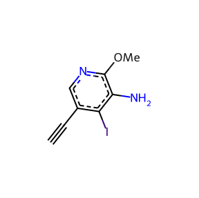 C#Cc1cnc(OC)c(N)c1I